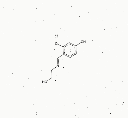 CCOc1cc(O)ccc1/C=N/CCO